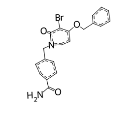 NC(=O)c1ccc(Cn2ccc(OCc3ccccc3)c(Br)c2=O)cc1